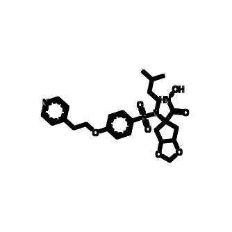 CC(C)CCN(C1(C(=O)NO)CC2OCOC2C1)S(=O)(=O)c1ccc(OCCc2ccncc2)cc1